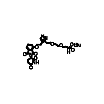 CC(C)(C)OC(=O)NCCOCCOCCn1nncc1CCOc1cccc2c1C(=O)N(C1CCC(=O)NC1=O)C2=O